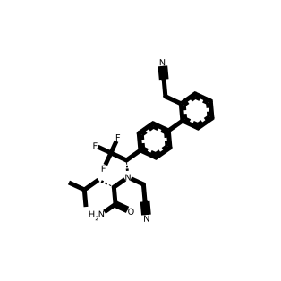 CC(C)C[C@@H](C(N)=O)N(CC#N)[C@@H](c1ccc(-c2ccccc2CC#N)cc1)C(F)(F)F